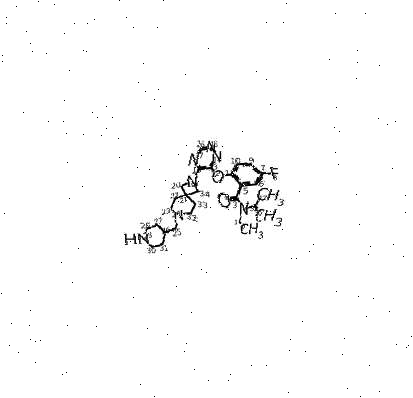 CCN(C(=O)c1cc(F)ccc1Oc1nncnc1N1CC2(CCN(CC3CCNCC3)CC2)C1)C(C)C